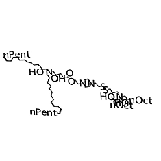 CCCCC/C=C\C/C=C\CCCCCC[C@@H](O)CN(CCCCC(=O)OCCN1CCN(CCSSCCCN(CC(O)CCCCCCCC)CC(O)CCCCCCCC)CC1)C[C@H](O)CCCCCC/C=C\C/C=C\CCCCC